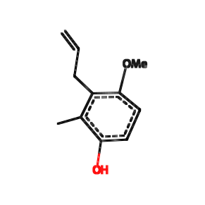 C=CCc1c(OC)ccc(O)c1C